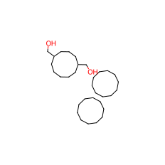 C1CCCCCCCCC1.C1CCCCCCCCC1.OCC1CCCCCC(CO)CCC1